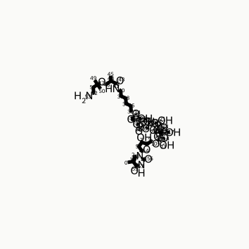 Cc1cn([C@H]2C[C@@H](O)C(COP(=O)(O)OP(=O)(O)OP(=O)(O)OP(=O)(O)OP(=O)(O)OP(=O)(O)OCCCCCCNC(=O)C(C)COC(C)(C)CCN)O2)c(=O)[nH]c1=O